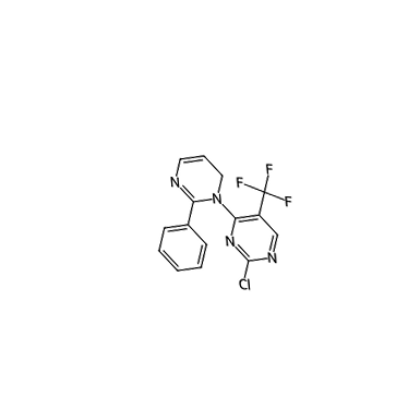 FC(F)(F)c1cnc(Cl)nc1N1CC=CN=C1c1ccccc1